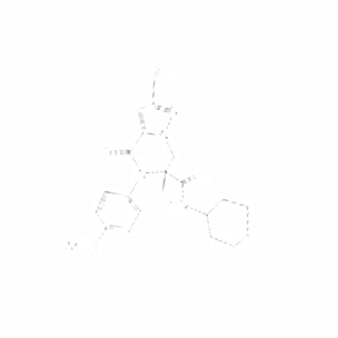 COc1ccc(N2C(=O)c3cc(C(C)C)nn3CC2(C)C(=O)NC2CCCCC2)cc1